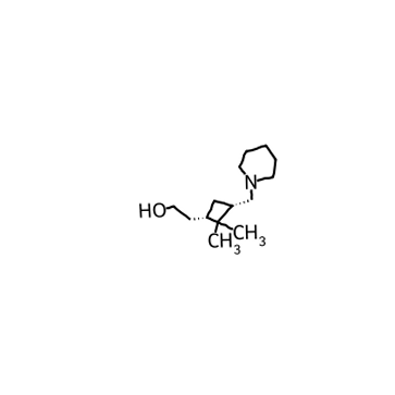 CC1(C)[C@H](CCO)C[C@@H]1CN1CCCCC1